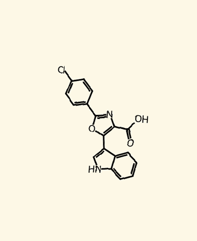 O=C(O)c1nc(-c2ccc(Cl)cc2)oc1-c1c[nH]c2ccccc12